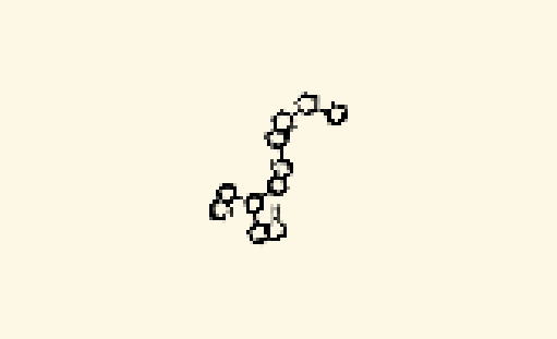 C1=Cc2cccc(-c3cc(-c4ccc5ccc(-c6ccc7c(c6)=NC(C6C=C(c8ccccn8)C=CC6)CC=7)nc5c4)cc(-c4cccc5cccnc45)c3)c2NC1